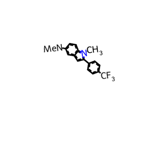 CNc1ccc2c(c1)cc(-c1ccc(C(F)(F)F)cc1)n2C